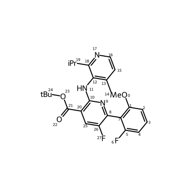 COc1cccc(F)c1-c1nc(Nc2c(C)ccnc2C(C)C)c(C(=O)OC(C)(C)C)cc1F